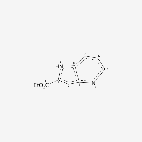 CCOC(=O)c1cc2ncccc2[nH]1